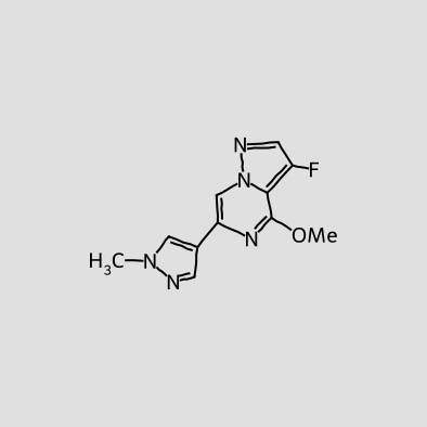 COc1nc(-c2cnn(C)c2)cn2ncc(F)c12